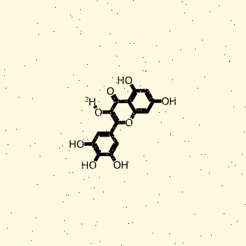 [2H]Oc1c(-c2cc(O)c(O)c(O)c2)oc2cc(O)cc(O)c2c1=O